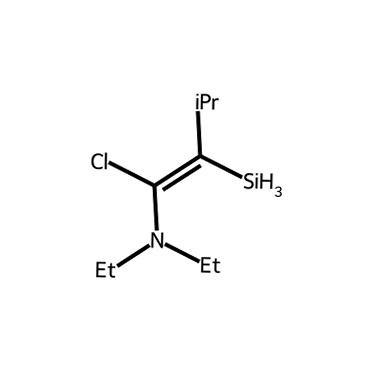 CCN(CC)C(Cl)=C([SiH3])C(C)C